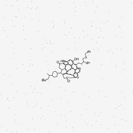 CCC(C)CC(C)C1CCC(C2C3=c4c5c(sc6cnc7c(CCC(CSCC(C)C)C(C)C)c8c(O)cc9[nH]c%10c%11c(c4c(c7c65)c8c9%11)C2CC%10=O)[S+]([O-])C3)CC1